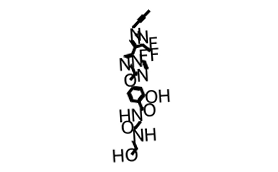 CC#CCn1cc(-c2cnc3c(Oc4ccc(C(=O)NCC(=O)NCCO)c(O)c4)nccn23)c(C(F)(F)F)n1